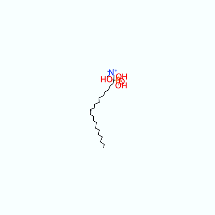 CCCCCCCCCC/C=C\CCCCCCCCCC(O)(C[N+](C)(C)C)P(=O)(O)O